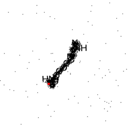 C[C@@H]1CCCN1C(=O)C(NC(=O)COCCOCCOCCOCCOc1ccc(-c2ccc3c(c2)[nH]c2ccncc23)cn1)C(C)(C)C